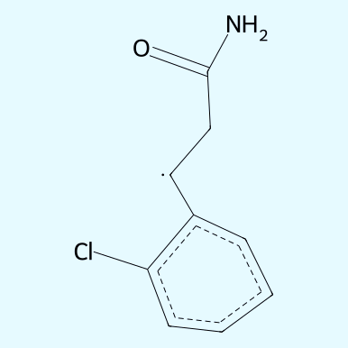 NC(=O)C[CH]c1ccccc1Cl